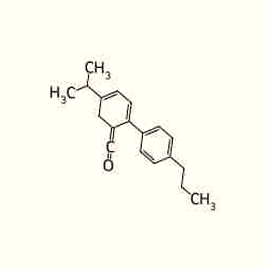 CCCc1ccc(C2=CC=C(C(C)C)CC2=C=O)cc1